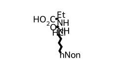 CCCCCCCCCCCCCCNC(=O)NC(CC)C(=O)O.Cl